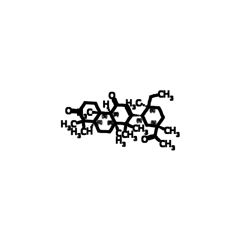 CC[C@@]1(C)CC[C@](C)(C(C)=O)C[C@@H]1C1=CC(=O)[C@@H]2[C@@]3(C)CCC(=O)C(C)(C)[C@@H]3CC[C@@]2(C)C1(C)C